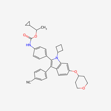 CC(OC(=O)Nc1ccc(-c2c(-c3ccc(C#N)cc3)c3ccc(OC4CCOCC4)cc3n2C2CCC2)cc1)C1CC1